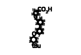 CC(C)(C)[C@H]1CC[C@H](Oc2cccc(-c3cccc(CN4CC[C@@H](C(=O)O)C4)c3)c2)CC1